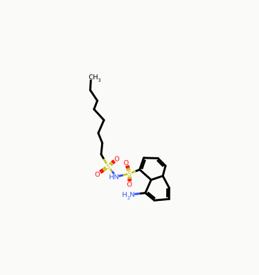 CCCCCCCCS(=O)(=O)NS(=O)(=O)C1=CC=CC2C=CC=C(N)C12